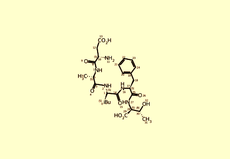 CC[C@H](C)[C@H](NC(=O)[C@H](C)NC(=O)[C@@H](N)CC(=O)O)C(=O)N[C@@H](Cc1ccccc1)C(=O)N[C@H](C(=O)O)[C@@H](C)O